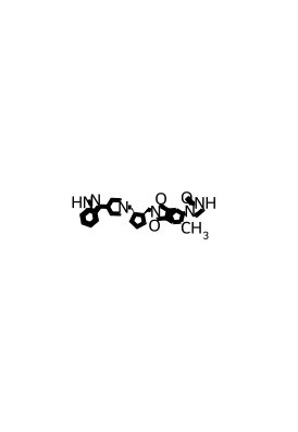 CC1C2CC(C3C(=O)N(C[C@H]4CCC[C@@H]4CN4CCC(c5n[nH]c6ccccc56)CC4)C(=O)C23)C1N1CCNC1=O